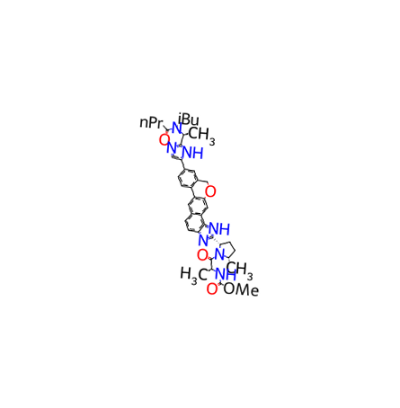 CCCC(=O)N([C@@H](C)CC)[C@@H](C)c1ncc(-c2ccc3c(c2)COc2cc4c(ccc5nc([C@@H]6CC[C@H](C)N6C(=O)[C@H](C)NC(=O)OC)[nH]c54)cc2-3)[nH]1